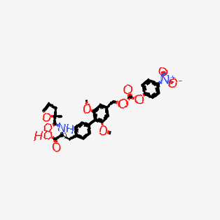 COc1cc(COC(=O)Oc2ccc([N+](=O)[O-])cc2)cc(OC)c1-c1ccc(C[C@H](NC(=O)C2(C)CCCO2)C(=O)O)cc1